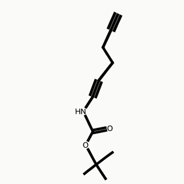 C#CCCC#CNC(=O)OC(C)(C)C